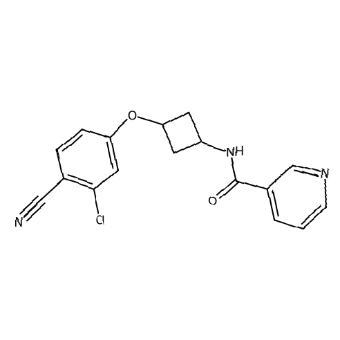 N#Cc1ccc(OC2CC(NC(=O)c3cccnc3)C2)cc1Cl